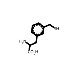 NC(Cc1cccc(CS)c1)C(=O)O